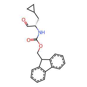 O=C[C@H](CC1CC1)NC(=O)OCC1c2ccccc2-c2ccccc21